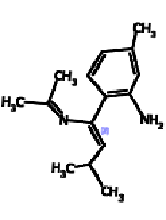 CC(C)=N/C(=C\C(C)C)c1ccc(C)cc1N